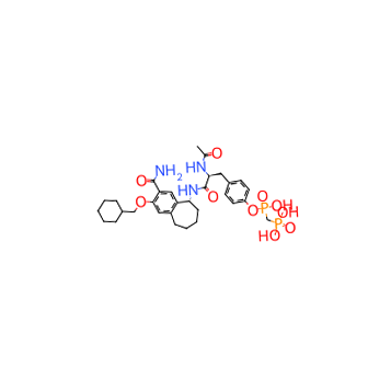 CC(=O)N[C@@H](Cc1ccc(OP(=O)(O)CP(=O)(O)O)cc1)C(=O)N[C@@H]1CCCCc2cc(OCC3CCCCC3)c(C(N)=O)cc21